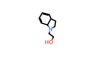 OCCN1CCC2C=CC=CC21